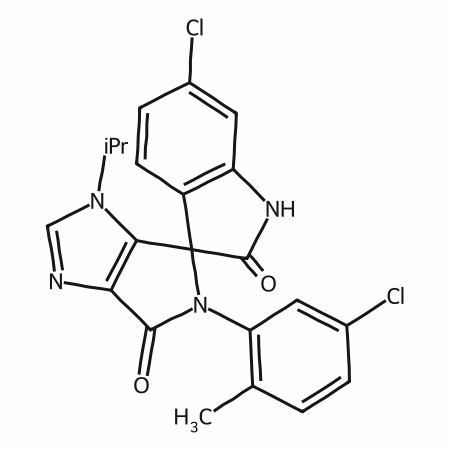 Cc1ccc(Cl)cc1N1C(=O)c2ncn(C(C)C)c2C12C(=O)Nc1cc(Cl)ccc12